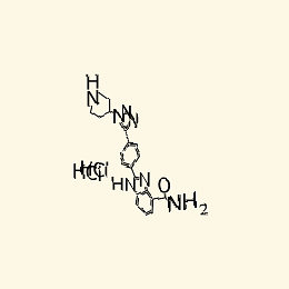 Cl.Cl.NC(=O)c1cccc2[nH]c(-c3ccc(-c4cn(C5CCNCC5)nn4)cc3)nc12